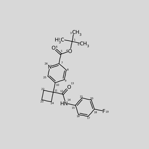 CC(C)(C)OC(=O)c1ccc(C2(C(=O)Nc3ccc(F)cc3)CCC2)cn1